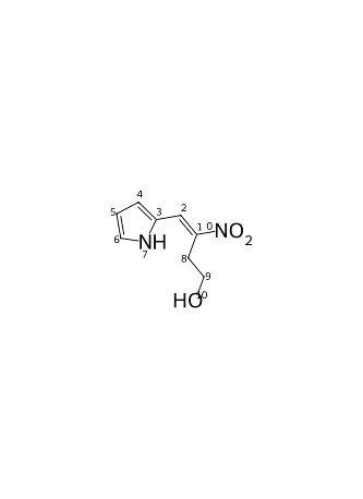 O=[N+]([O-])/C(=C/c1ccc[nH]1)CCO